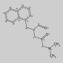 CN(C)CC(=O)CC([C]=O)Cc1cccc2ccccc12